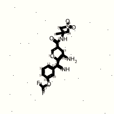 CC1(NC(=O)C2COC(C(=N)c3cccc(OC(F)F)c3)=C(N)C2)CS(=O)(=O)C1